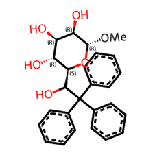 CO[C@@H]1O[C@@H](C(O)C(c2ccccc2)(c2ccccc2)c2ccccc2)[C@H](O)[C@@H](O)[C@H]1O